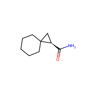 NC(=O)[C@@H]1CC12CCCCC2